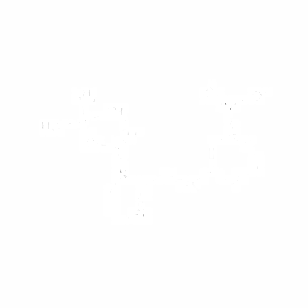 CC(C)(C)OC(=O)n1ccnc1C=Cc1cccc([N+](=O)[O-])c1